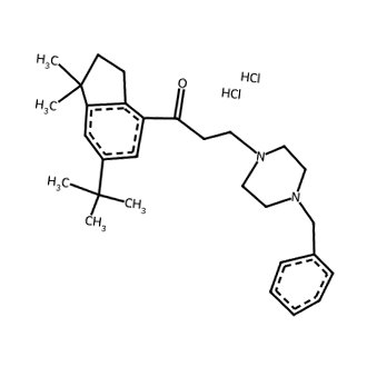 CC(C)(C)c1cc(C(=O)CCN2CCN(Cc3ccccc3)CC2)c2c(c1)C(C)(C)CC2.Cl.Cl